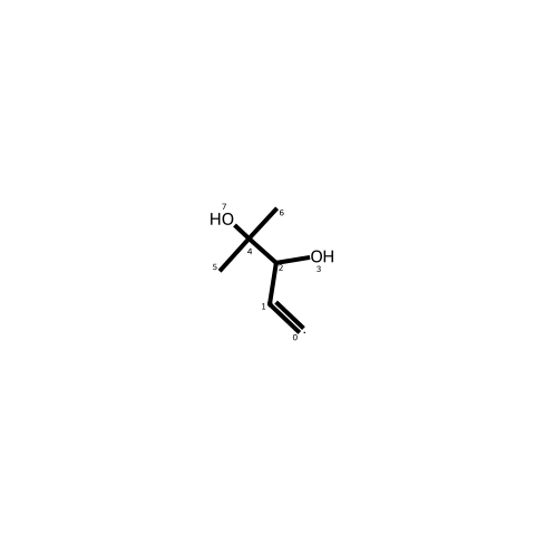 [CH]=CC(O)C(C)(C)O